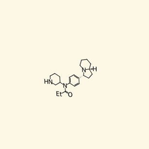 CCC(=O)N(c1ccc([C@H]2CC[C@H]3CCCCN32)cc1)C1CCCNC1